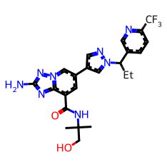 CCC(c1ccc(C(F)(F)F)nc1)n1cc(-c2cc(C(=O)NC(C)(C)CO)c3nc(N)nn3c2)cn1